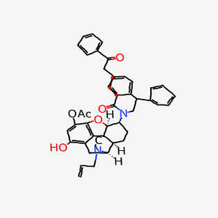 C=CCN1CC[C@]23c4c5c(O)cc(OC(C)=O)c4O[C@H]2[C@@H](N(CC(c2ccccc2)c2ccccc2)C(=O)CCCCC(=O)c2ccccc2)CC[C@H]3[C@H]1C5